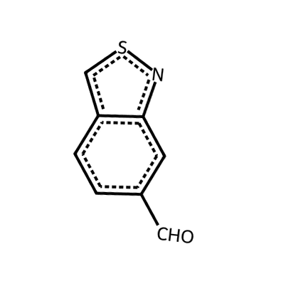 O=Cc1ccc2csnc2c1